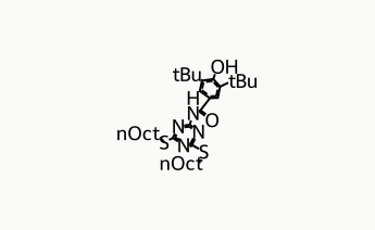 CCCCCCCCSc1nc(NC(=O)c2cc(C(C)(C)C)c(O)c(C(C)(C)C)c2)nc(SCCCCCCCC)n1